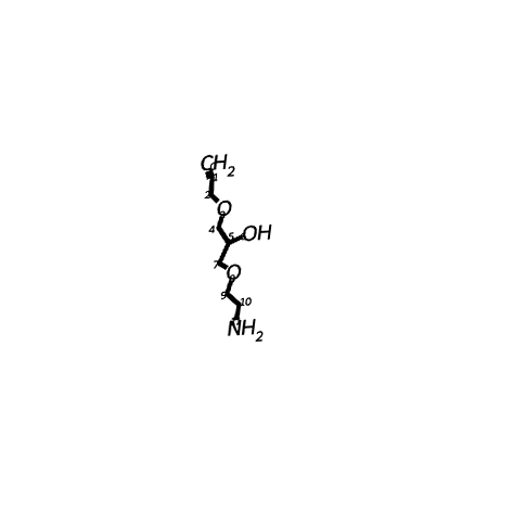 C=CCOCC(O)COCCN